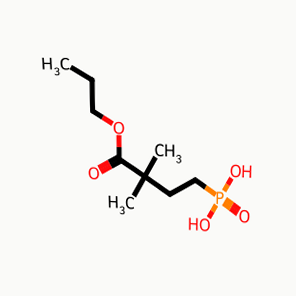 CCCOC(=O)C(C)(C)CCP(=O)(O)O